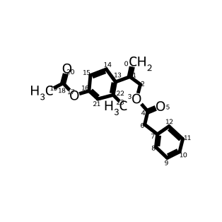 C=C(COC(=O)Cc1ccccc1)c1ccc(OC(C)=O)cc1C